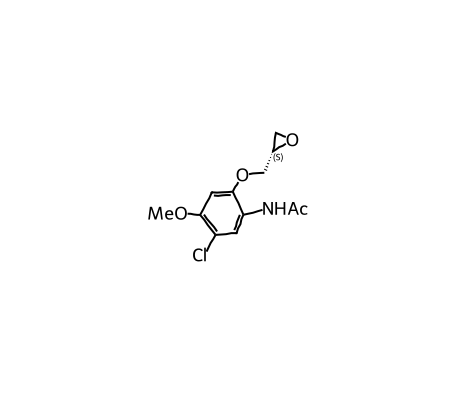 COc1cc(OC[C@@H]2CO2)c(NC(C)=O)cc1Cl